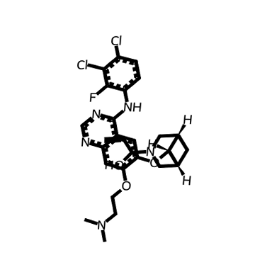 C=CC(O)N1C[C@H]2C[C@@H](C1)[C@H]2Oc1cc2c(Nc3ccc(Cl)c(Cl)c3F)ncnc2cc1OCCN(C)C